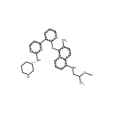 CCOC(CNc1cccc2c(Oc3ncccc3-c3ccnc(N[C@H]4CCCNC4)n3)c(C)ccc12)C(F)(F)F